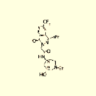 CCN1CC[C@H](NC(=O)Cn2nc(C(C)C)c3cc(C(F)(F)F)ccc3c2=O)C[C@@H](O)C1